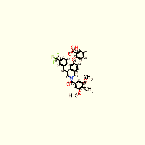 COc1cc(C(=O)N(CCCc2cccc(C(F)(F)F)c2)Cc2ccc(Oc3ccccc3C(=O)O)cc2)cc(OC)c1C